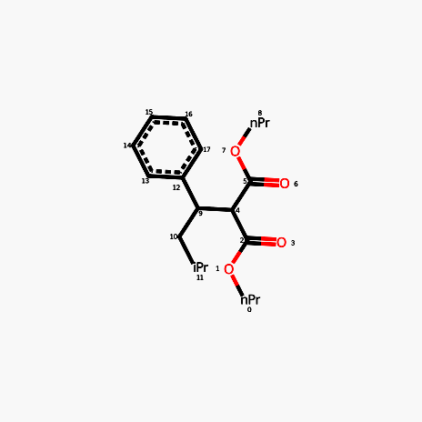 CCCOC(=O)C(C(=O)OCCC)C(CC(C)C)c1ccccc1